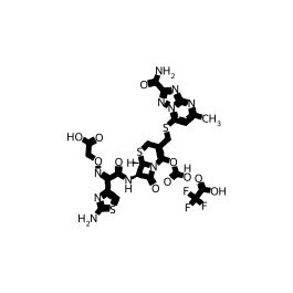 Cc1cc(SCC2=C(OC(=O)O)N3C(=O)[C@@H](NC(=O)/C(=N\OCC(=O)O)c4csc(N)n4)[C@H]3SC2)n2nc(C(N)=O)nc2n1.O=C(O)C(F)(F)F